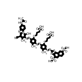 CC(=O)Nc1ccc2c(c1)nc1c(C#N)c(C)c(N=Nc3cc(C)c(N=Nc4cc(C)c(N=Nc5nc6c(S(=O)(=O)O)cc7ccc(S(=O)(=O)O)cc7c6s5)cc4SCCCS(=O)(=O)O)cc3OCCCS(=O)(=O)O)c(O)n12